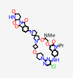 CNC(=O)COc1cc2cc(Nc3nc(N4CCC(O[C@H]5C[C@H](N6CCC7(CCN(c8ccc9c(c8)C(=O)N(C8CCC(=O)NC8=O)C9=O)C7)C6)C5)CC4)ncc3Cl)ccc2n(C(C)C)c1=O